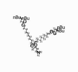 CCCCC(CCCC)CC(=O)OCCCCCCCCCCC1(CCCCCCCCCCOC(=O)CC(CCCC)CCCC)OCC(CCN(C)C)O1